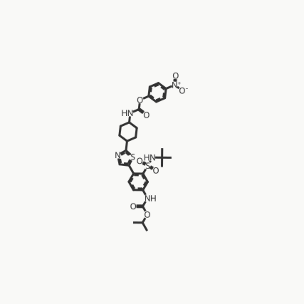 CC(C)OC(=O)Nc1ccc(-c2cnc(C3CCC(NC(=O)Oc4ccc([N+](=O)[O-])cc4)CC3)s2)c(S(=O)(=O)NC(C)(C)C)c1